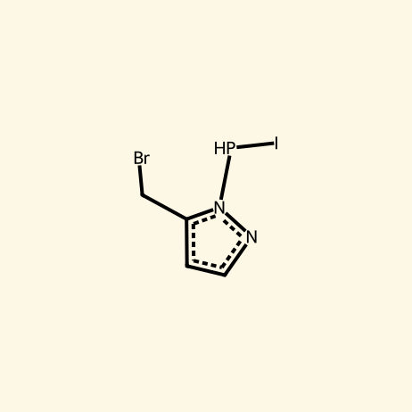 BrCc1ccnn1PI